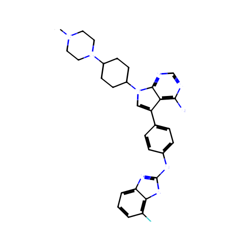 CN1CCN(C2CCC(n3cc(-c4ccc(Nc5nc6cccc(F)c6[nH]5)cc4)c4c(N)ncnc43)CC2)CC1